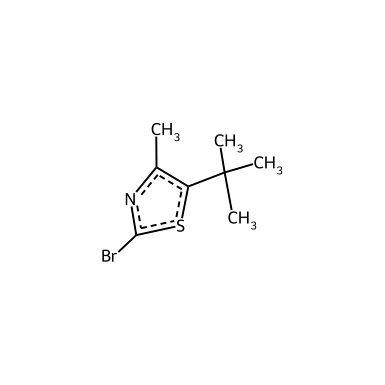 Cc1nc(Br)sc1C(C)(C)C